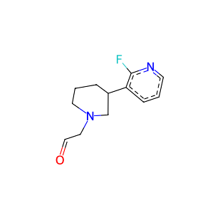 O=CCN1CCCC(c2cccnc2F)C1